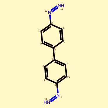 N=Nc1ccc(-c2ccc(N=N)cc2)cc1